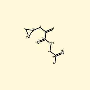 C=C(CC1CO1)C(=O)OCC(C)=O